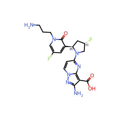 NCCCn1cc(F)cc([C@H]2C[C@H](F)CN2c2ccn3nc(N)c(C(=O)O)c3n2)c1=O